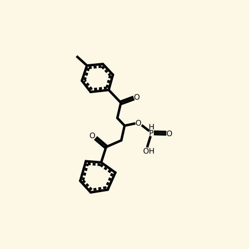 Cc1ccc(C(=O)CC(CC(=O)c2ccccc2)O[PH](=O)O)cc1